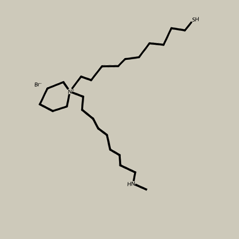 CNCCCCCCCCC[N+]1(CCCCCCCCCCS)CCCCC1.[Br-]